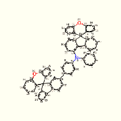 c1ccc(N(c2ccc(-c3ccc4c(c3)C3(c5ccccc5Oc5ccccc53)c3ccccc3-4)cc2)c2cccc3c2-c2ccccc2C32c3ccccc3Oc3ccccc32)cc1